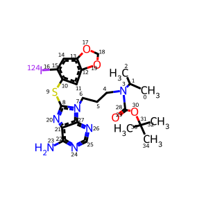 CC(C)N(CCCn1c(Sc2cc3c(cc2[124I])OCO3)nc2c(N)ncnc21)C(=O)OC(C)(C)C